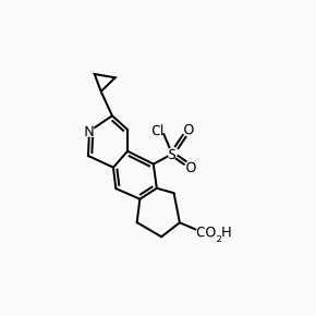 O=C(O)C1CCc2cc3cnc(C4CC4)cc3c(S(=O)(=O)Cl)c2C1